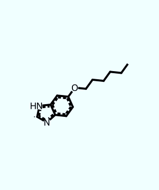 CCCCCCOc1ccc2n[c][nH]c2c1